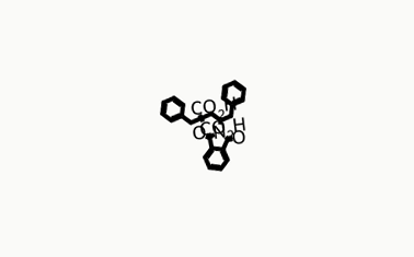 O=C1c2ccccc2C(=O)N1C(Cc1ccccc1)CC(Cc1ccccc1)(C(=O)O)C(=O)O